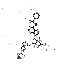 CC(C)(C)OC(=O)N1CC2(CCN2C[C@H]2O[C@@H](n3cnc4c(NC(=O)c5ccccc5)ncnc43)[C@@H]3OC(C)(C)O[C@@H]32)C1